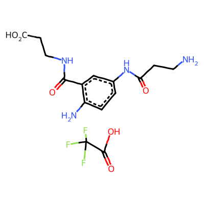 NCCC(=O)Nc1ccc(N)c(C(=O)NCCC(=O)O)c1.O=C(O)C(F)(F)F